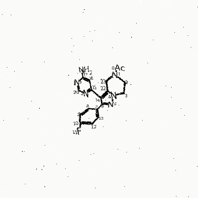 CC(=O)N1CCn2nc(-c3ccc(F)cc3)c(-c3cc(N)ncn3)c2C1